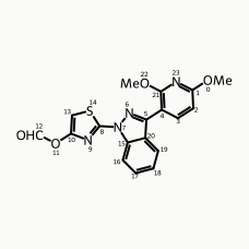 COc1ccc(-c2nn(-c3nc(OC=O)cs3)c3ccccc23)c(OC)n1